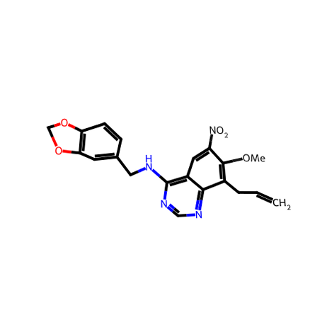 C=CCc1c(OC)c([N+](=O)[O-])cc2c(NCc3ccc4c(c3)OCO4)ncnc12